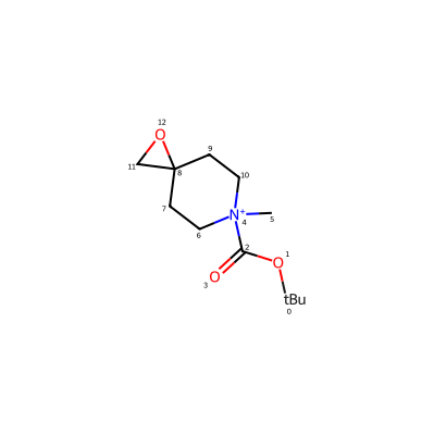 CC(C)(C)OC(=O)[N+]1(C)CCC2(CC1)CO2